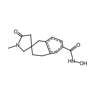 CN1CC2(CCc3cc(C(=O)NO)ccc3C2)CC1=O